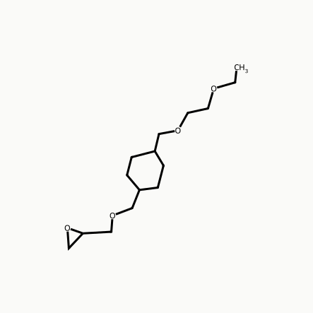 CCOCCOCC1CCC(COCC2CO2)CC1